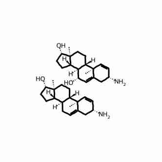 C[C@]12CC[C@H]3[C@@H](CC=C4C[C@@H](N)C=C[C@@]43C)[C@@H]1CC[C@@H]2O.C[C@]12CC[C@H]3[C@@H]([C@@H](O)C=C4C[C@@H](N)C=C[C@@]43C)[C@@H]1CC[C@@H]2O